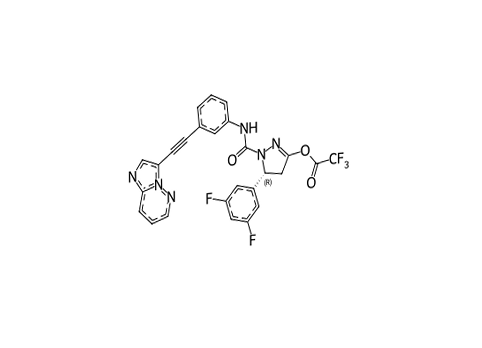 O=C(Nc1cccc(C#Cc2cnc3cccnn23)c1)N1N=C(OC(=O)C(F)(F)F)C[C@@H]1c1cc(F)cc(F)c1